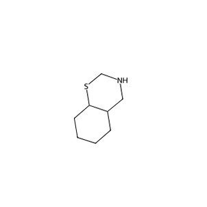 C1CCC2SCNCC2C1